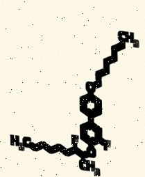 CCCCCCCCOc1ccc(-c2ccc(O[C@@H](C)[C@@H](F)CCCCCC)c(F)c2)cc1